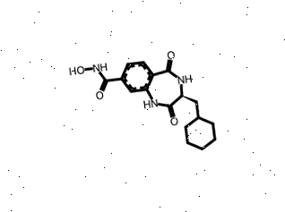 O=C(NO)c1ccc2c(c1)NC(=O)[C@H](CC1CCCCC1)NC2=O